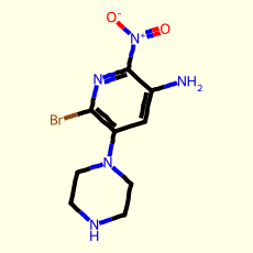 Nc1cc(N2CCNCC2)c(Br)nc1[N+](=O)[O-]